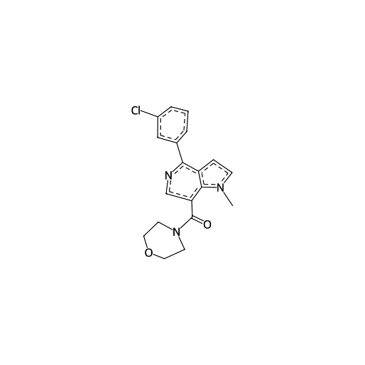 Cn1ccc2c(-c3cccc(Cl)c3)ncc(C(=O)N3CCOCC3)c21